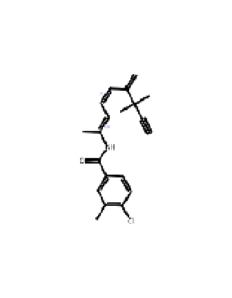 C#CC(C)(C)C(=C)/C=C\C=C(/C)NC(=O)c1ccc(Cl)c(C)c1